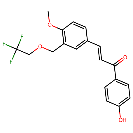 COc1ccc(/C=C/C(=O)c2ccc(O)cc2)cc1COCC(F)(F)F